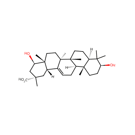 CC1(C)[C@@H](O)CC[C@]2(C)[C@H]3CC=C4[C@@H]5C[C@](C)(C(=O)O)C[C@@H](O)[C@]5(C)CC[C@@]4(C)[C@]3(C)CC[C@@H]12